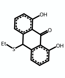 CCSC1c2cccc(O)c2C(=O)c2c(O)cccc21